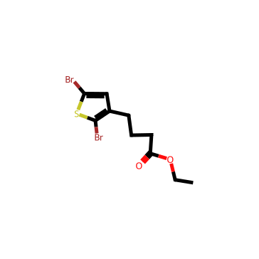 CCOC(=O)CCCc1cc(Br)sc1Br